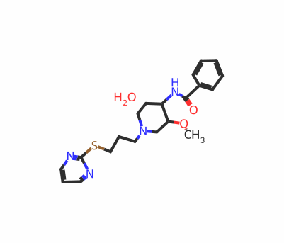 COC1CN(CCCSc2ncccn2)CCC1NC(=O)c1ccccc1.O